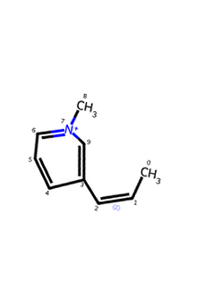 C/C=C\c1ccc[n+](C)c1